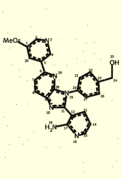 COc1cncc(-c2ccc3nc(-c4cccnc4N)n(-c4ccc(CO)cc4)c3n2)c1